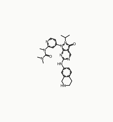 CC(C)n1c(=O)c2cnc(Nc3ccc4c(c3)CNCC4)nc2n1-c1ccnc(N(C)C(=O)N(C)C)c1